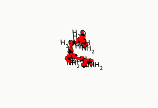 COc1ccc2nc([C@@H](Cc3cccc(C(=N)N)c3)NS(=O)(=O)c3cccc(C(=O)NCCN(C)CCCOc4ccc5nc([C@H](Cc6cccc(C(=N)N)c6)NS(=O)(=O)c6cccc(CCOc7ccc8nc([C@@H](Cc9cccc(C(=N)N)c9)NS(=O)(=O)c9ccccc9)sc8c7)c6)sc5c4)c3)sc2c1